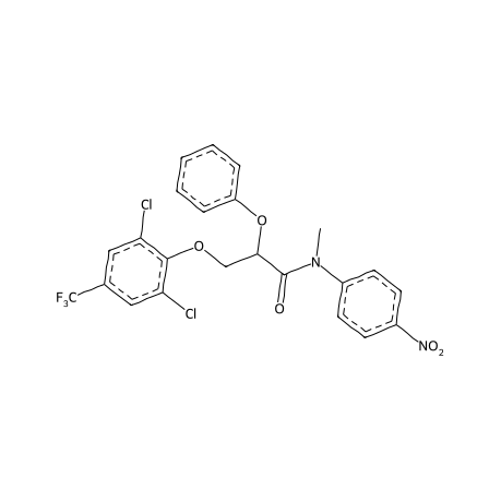 CN(C(=O)C(COc1c(Cl)cc(C(F)(F)F)cc1Cl)Oc1ccccc1)c1ccc([N+](=O)[O-])cc1